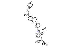 CCC(O)CNS(=O)(=O)/C(C#N)=C/c1ccc(-c2ccc3cc(NCCN4CCOCC4)ccc3c2)s1